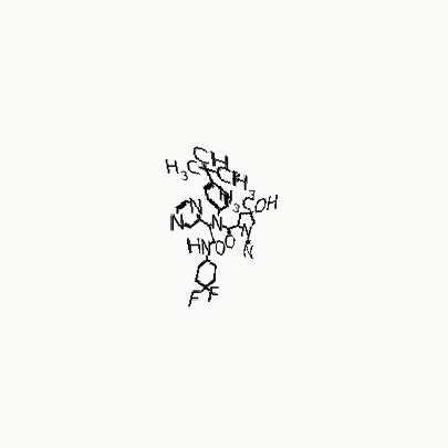 CC1(O)CC(C(=O)N(c2ccc(C(C)(C)C)cc2)C(C(=O)NC2CCC(F)(F)CC2)c2cnccn2)N(C#N)C1